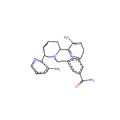 CC1=CCCN=C1C1CCCC(c2ncccc2C)N1Cc1cccc(C(N)=O)c1